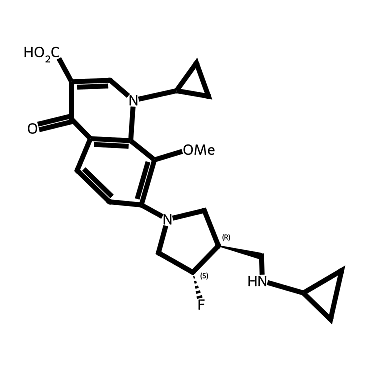 COc1c(N2C[C@@H](CNC3CC3)[C@H](F)C2)ccc2c(=O)c(C(=O)O)cn(C3CC3)c12